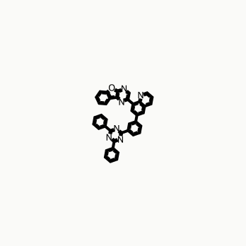 c1ccc(-c2nc(-c3ccccc3)nc(-c3cccc(-c4cc(-c5cnc6oc7ccccc7c6n5)c5ncccc5c4)c3)n2)cc1